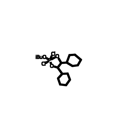 CC(C)COP1(Cl)(Cl)OC(C2CCCCC2)C(C2CCCCC2)O1